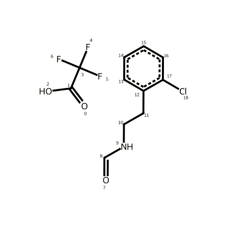 O=C(O)C(F)(F)F.O=CNCCc1ccccc1Cl